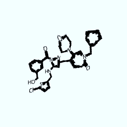 O=C(c1cccc(CO)c1)n1nc(-c2cc(=O)n(Cc3ccccc3)cc2N2CCOCC2)cc1NCc1ccc(Cl)s1